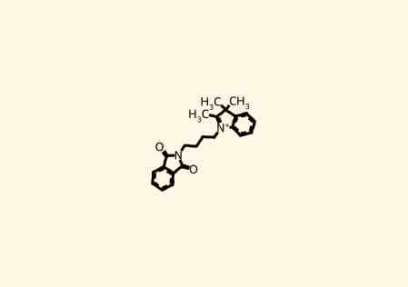 CC1=[N+](CCCCN2C(=O)c3ccccc3C2=O)c2ccccc2C1(C)C